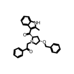 Cc1[nH]c2ccccc2c1C(=O)[C@H]1C[C@H](OCc2ccccc2)CN1CC(=O)c1ccccc1